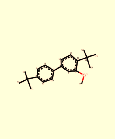 COc1cc(-c2ccc(C(C)(C)C)cc2)ccc1C(C)(C)C